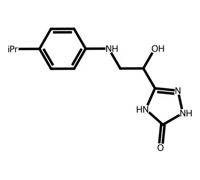 CC(C)c1ccc(NCC(O)c2n[nH]c(=O)[nH]2)cc1